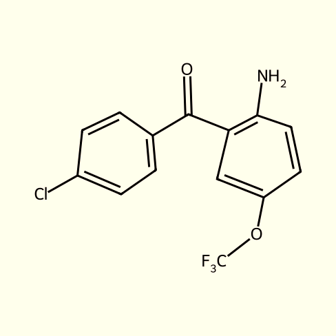 Nc1ccc(OC(F)(F)F)cc1C(=O)c1ccc(Cl)cc1